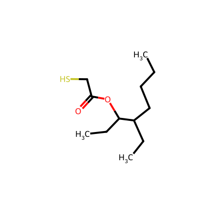 CCCCC(CC)C(CC)OC(=O)CS